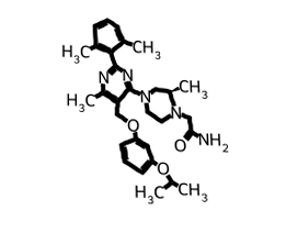 Cc1cccc(C)c1-c1nc(C)c(COc2cccc(OC(C)C)c2)c(N2CCN(CC(N)=O)[C@H](C)C2)n1